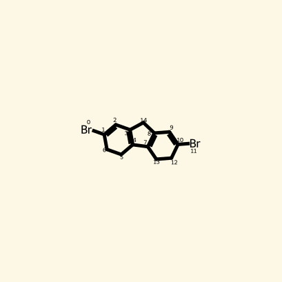 BrC1=CC2=C(CC1)C1=C(C=C(Br)CC1)C2